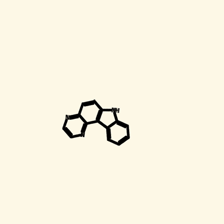 [c]1cc2nccnc2c2c1[nH]c1ccccc12